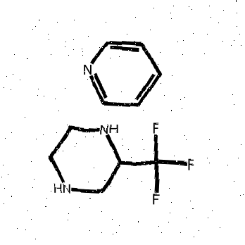 FC(F)(F)C1CNCCN1.c1ccncc1